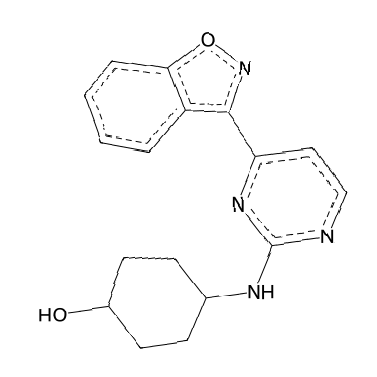 OC1CCC(Nc2nccc(-c3noc4ccccc34)n2)CC1